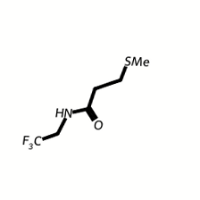 CSCCC(=O)NCC(F)(F)F